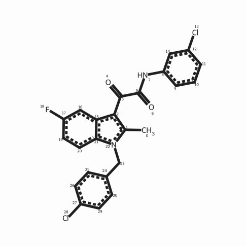 Cc1c(C(=O)C(=O)Nc2cccc(Cl)c2)c2cc(F)ccc2n1Cc1ccc(Cl)cc1